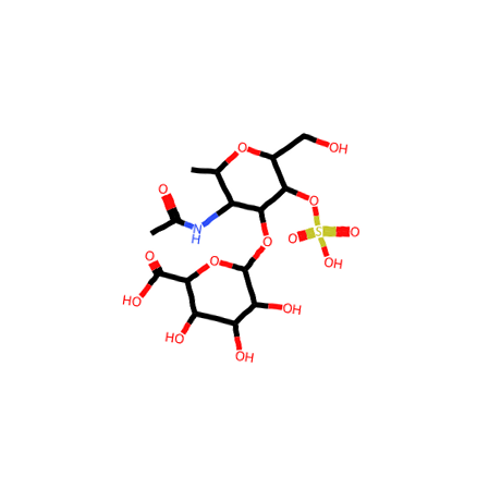 CC(=O)NC1C(C)OC(CO)C(OS(=O)(=O)O)C1OC1OC(C(=O)O)C(O)C(O)C1O